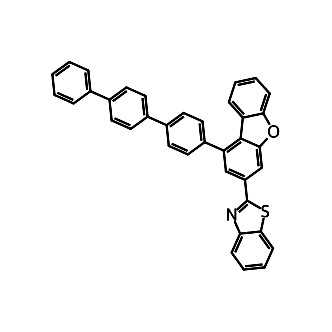 c1ccc(-c2ccc(-c3ccc(-c4cc(-c5nc6ccccc6s5)cc5oc6ccccc6c45)cc3)cc2)cc1